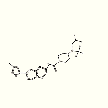 [2H]C([2H])([2H])N(CC(F)F)C1CCN(C(=O)Nc2cc3cc(-c4nnc(C)s4)ncc3cn2)CC1